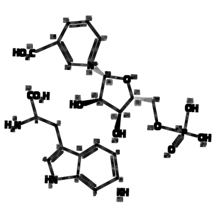 NC(Cc1c[nH]c2ccccc12)C(=O)O.O=C(O)c1ccc[n+]([C@@H]2O[C@H](COP(=O)(O)O)[C@@H](O)[C@H]2O)c1.[KH]